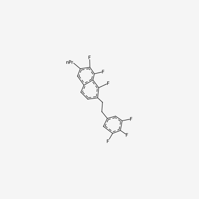 CCCc1cc2ccc(CCc3cc(F)c(F)c(F)c3)c(F)c2c(F)c1F